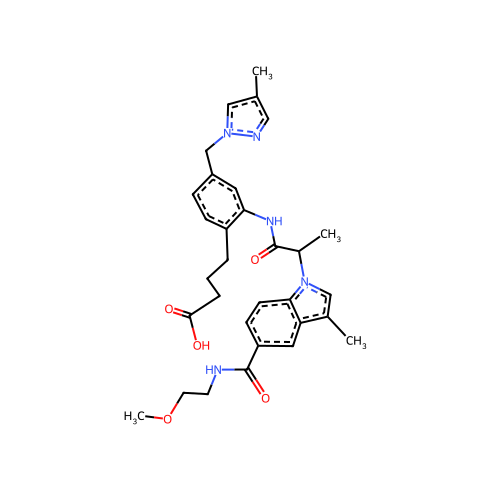 COCCNC(=O)c1ccc2c(c1)c(C)cn2C(C)C(=O)Nc1cc(Cn2cc(C)cn2)ccc1CCCC(=O)O